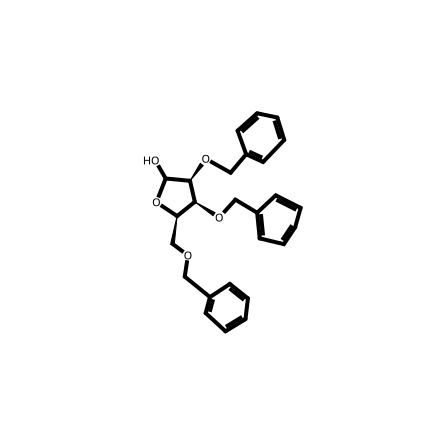 OC1O[C@H](COCc2ccccc2)[C@H](OCc2ccccc2)[C@@H]1OCc1ccccc1